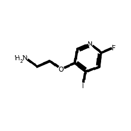 NCCOc1cnc(F)cc1I